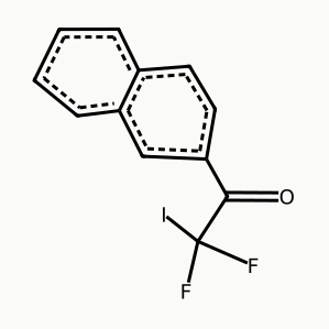 O=C(c1ccc2ccccc2c1)C(F)(F)I